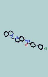 O=C(Nc1ccc2nc(CN3CCCc4ccccc43)ccc2c1)c1ccc(-c2ccc(Cl)cc2)cc1